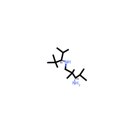 CC(C)[C@@H](NCC(C)(C)[C@@H](N)C(C)C)C(C)(C)C